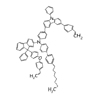 C=Cc1ccc(Oc2ccc(C3(c4ccccc4)c4ccccc4-c4ccc(N(c5ccc(-c6ccc(CCCCCCCC)cc6)cc5)c5ccc(-c6ccc7c(c6)c6cc(-c8ccc(C=C)cc8)ccc6n7-c6ccccc6)cc5)cc43)cc2)cc1